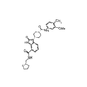 COc1cc(NC(=O)[C@H]2CC[C@@H](n3c(=O)[nH]c4c(C(=O)NCC5CCCO5)cccc43)CC2)ccc1C